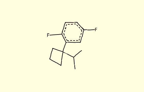 CC(C)C1(c2cc(F)ccc2F)CCC1